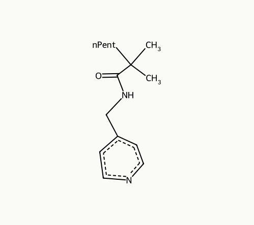 CCCCCC(C)(C)C(=O)NCc1ccncc1